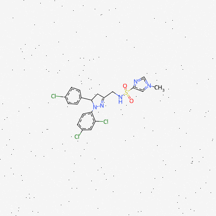 Cn1cnc(S(=O)(=O)NCC2=NN(c3ccc(Cl)cc3Cl)C(c3ccc(Cl)cc3)C2)c1